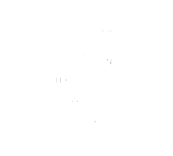 CC(=O)Cc1nc(C)sc1C